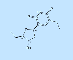 CCc1cn([C@H]2C[C@H](O)[C@@H](CI)O2)c(=O)[nH]c1=O